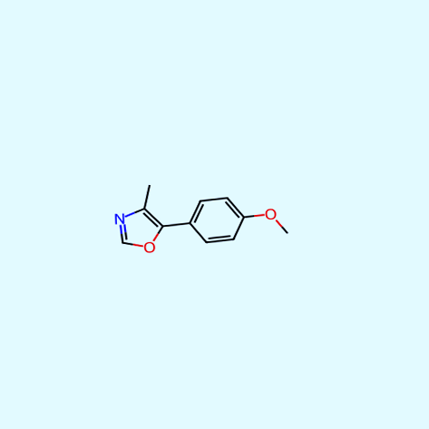 COc1ccc(-c2ocnc2C)cc1